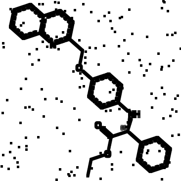 CCOC(=O)[C@@H](Nc1ccc(OCc2ccc3ccccc3n2)cc1)c1ccccc1